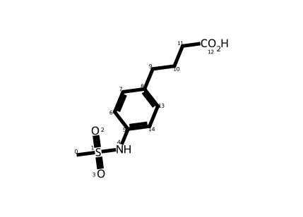 CS(=O)(=O)Nc1ccc(CCCC(=O)O)cc1